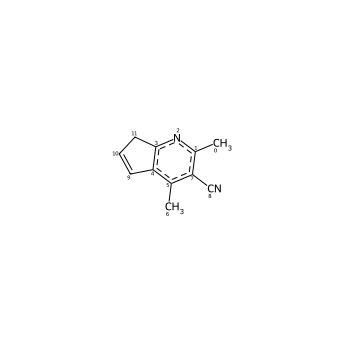 Cc1nc2c(c(C)c1C#N)C=CC2